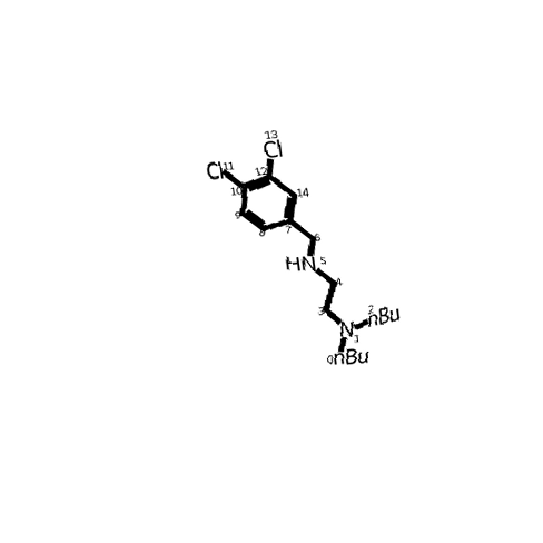 CCCCN(CCCC)CCNCc1ccc(Cl)c(Cl)c1